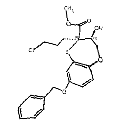 COC(=O)[C@]1(CCCCl)Sc2cc(OCc3ccccc3)ccc2OC[C@@H]1O